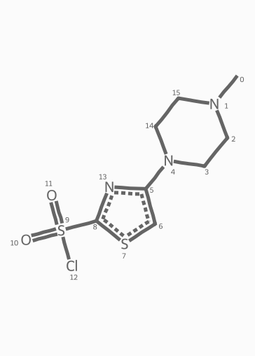 CN1CCN(c2csc(S(=O)(=O)Cl)n2)CC1